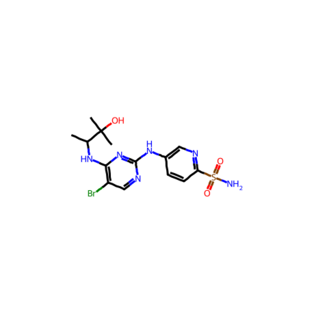 CC(Nc1nc(Nc2ccc(S(N)(=O)=O)nc2)ncc1Br)C(C)(C)O